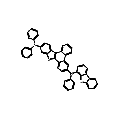 c1ccc(N(c2ccccc2)c2ccc3c(c2)sc2c4ccc(N(c5ccccc5)c5cccc6c5oc5ccccc56)cc4c4ccccc4c32)cc1